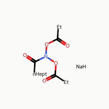 CCCCCCCC(=O)N(OC(=O)CC)OC(=O)CC.[NaH]